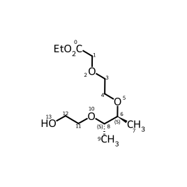 CCOC(=O)COCCO[C@@H](C)[C@H](C)OCCO